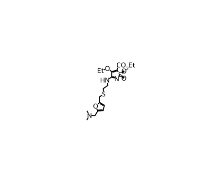 CCOC(=O)C1=C(OCC)C(NCCSCc2ccc(CN(C)C)o2)=NS1(=O)=O